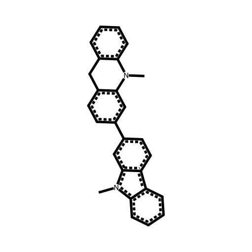 CN1c2ccccc2Cc2ccc(-c3ccc4c5ccccc5n(C)c4c3)cc21